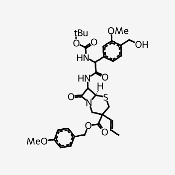 CC=CC1(C(=O)OCc2ccc(OC)cc2)CS[C@@H]2C(NC(=O)C(NC(=O)OC(C)(C)C)c3ccc(CO)c(OC)c3)C(=O)N2C1